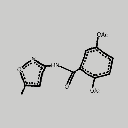 CC(=O)Oc1ccc(OC(C)=O)c(C(=O)Nc2cc(C)on2)c1